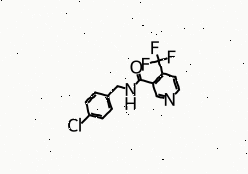 O=C(NCc1ccc(Cl)cc1)c1cnccc1C(F)(F)F